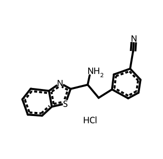 Cl.N#Cc1cccc(CC(N)c2nc3ccccc3s2)c1